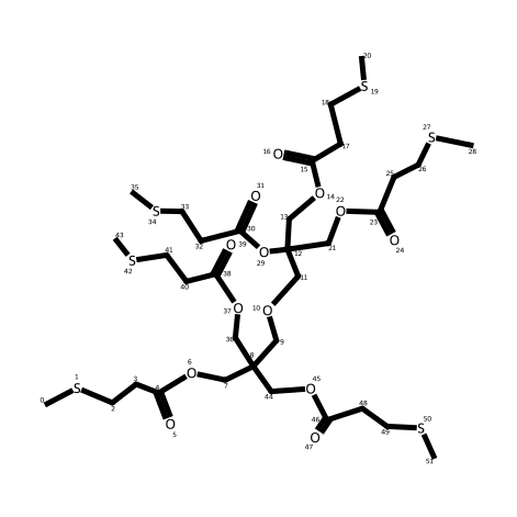 CSCCC(=O)OCC(COCC(COC(=O)CCSC)(COC(=O)CCSC)OC(=O)CCSC)(COC(=O)CCSC)COC(=O)CCSC